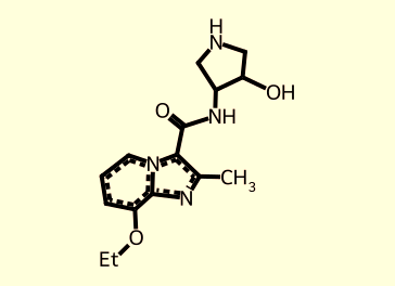 CCOc1cccn2c(C(=O)NC3CNCC3O)c(C)nc12